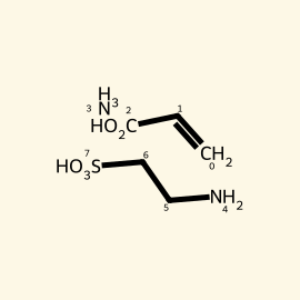 C=CC(=O)O.N.NCCS(=O)(=O)O